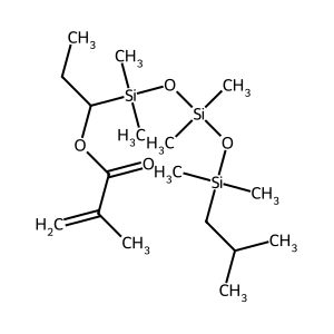 C=C(C)C(=O)OC(CC)[Si](C)(C)O[Si](C)(C)O[Si](C)(C)CC(C)C